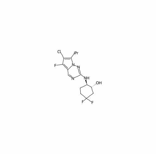 CC(C)c1c(Cl)c(F)c2cnc(N[C@@H]3CCC(F)(F)C[C@H]3O)nn12